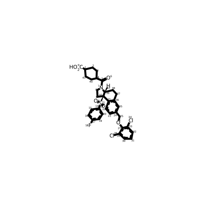 O=C(O)C1CCC(C(=O)N2CC[C@@]3(S(=O)(=O)c4ccc(F)cc4)c4ccc(COc5c(Cl)cccc5Cl)cc4CC[C@@H]23)CC1